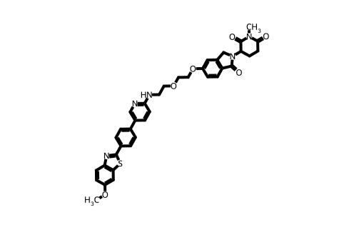 COc1ccc2nc(-c3ccc(-c4ccc(NCCOCCOc5ccc6c(c5)CN(C5CCC(=O)N(C)C5=O)C6=O)nc4)cc3)sc2c1